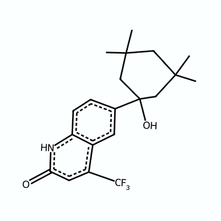 CC1(C)CC(C)(C)CC(O)(c2ccc3[nH]c(=O)cc(C(F)(F)F)c3c2)C1